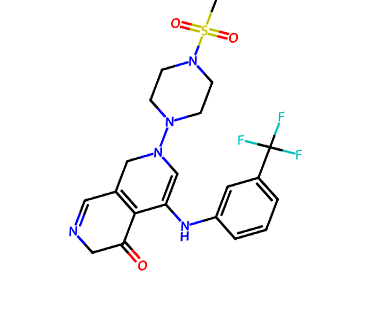 CS(=O)(=O)N1CCN(N2C=C(Nc3cccc(C(F)(F)F)c3)C3=C(C=NCC3=O)C2)CC1